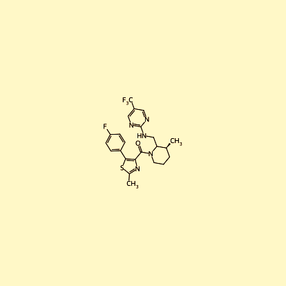 Cc1nc(C(=O)N2CCC[C@H](C)C2CNc2ncc(C(F)(F)F)cn2)c(-c2ccc(F)cc2)s1